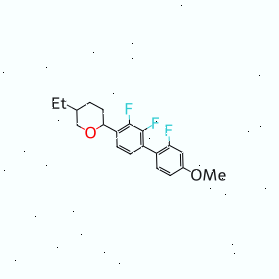 CCC1CCC(c2ccc(-c3ccc(OC)cc3F)c(F)c2F)OC1